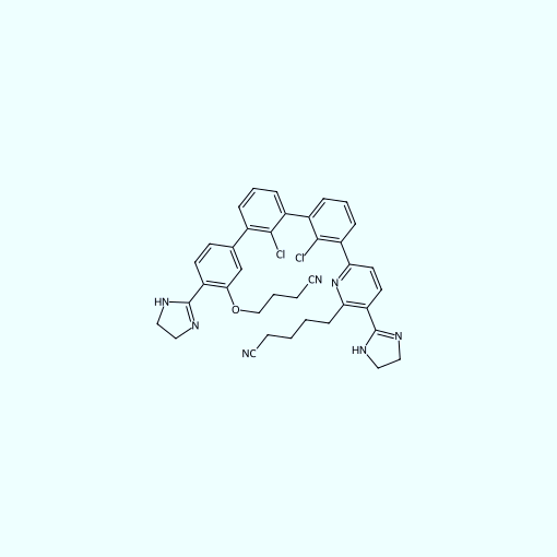 N#CCCCCc1nc(-c2cccc(-c3cccc(-c4ccc(C5=NCCN5)c(OCCCC#N)c4)c3Cl)c2Cl)ccc1C1=NCCN1